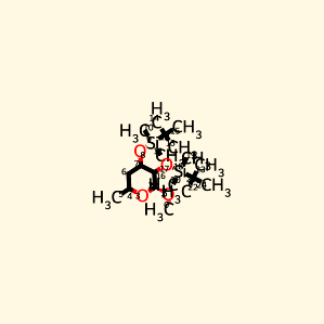 CO[C@H]1OC(C)CC(O[Si](C)(C)C(C)(C)C)C1O[Si](C)(C)C(C)(C)C